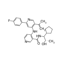 C=C(C)c1cnc(-c2ccc(F)cc2)cc1Nc1ccncc1C(=O)NC(C1CCCC1)[C@H](C)O